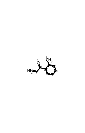 Cc1ccccc1C(=O)C=N